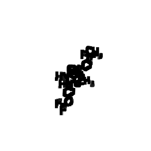 CO/C(Nc1ccc(OC(F)F)cc1)=C(/C(C)=N)C(=O)Nc1cccc(C(C)(F)F)c1